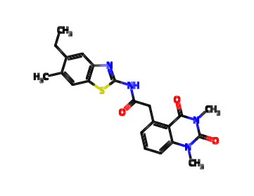 CCc1cc2nc(NC(=O)Cc3cccc4c3c(=O)n(C)c(=O)n4C)sc2cc1C